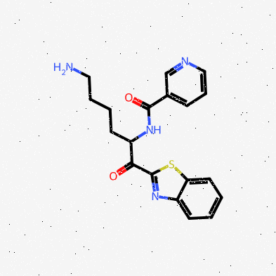 NCCCCC(NC(=O)c1cccnc1)C(=O)c1nc2ccccc2s1